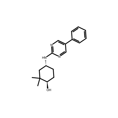 CC1(C)C[C@H](Nc2ncc(-c3ccccc3)cn2)CC[C@H]1O